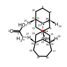 CC(=O)O.N[C@@H]1C[C@H]2CCC[C@@H](C1)N2[C@@H]1C[C@@H]2CCCC[C@@H](C2)C1